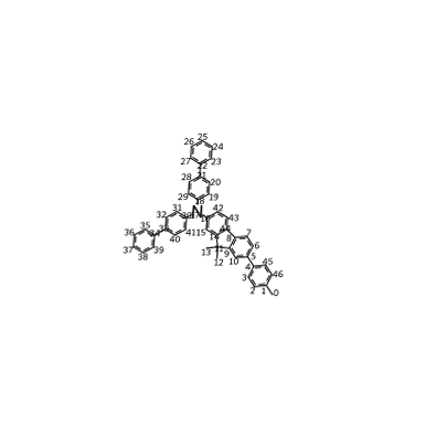 Cc1ccc(-c2ccc3c(c2)C(C)(C)c2cc(N(c4ccc(-c5ccccc5)cc4)c4ccc(-c5ccccc5)cc4)ccc2-3)cc1